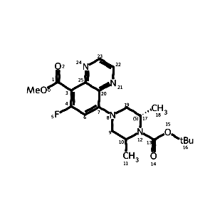 COC(=O)c1c(F)cc(N2CC(C)N(C(=O)OC(C)(C)C)[C@@H](C)C2)c2nccnc12